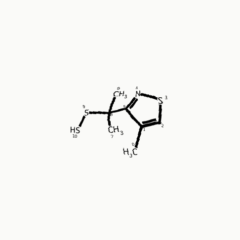 Cc1csnc1C(C)(C)SS